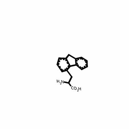 NC(Cc1cccc2c1-c1ccccc1C2)C(=O)O